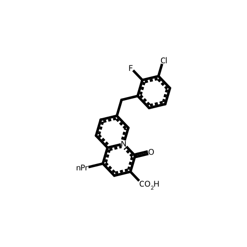 CCCc1cc(C(=O)O)c(=O)n2cc(Cc3cccc(Cl)c3F)ccc12